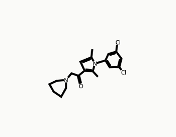 Cc1cc(C(=O)CN2CCCCC2)c(C)n1-c1cc(Cl)cc(Cl)c1